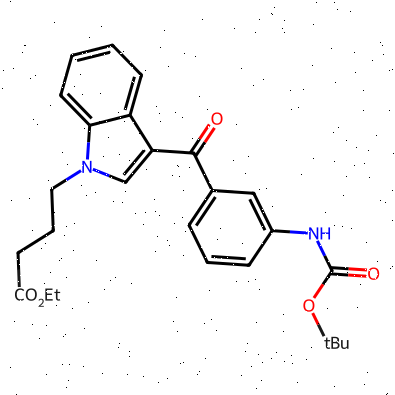 CCOC(=O)CCCn1cc(C(=O)c2cccc(NC(=O)OC(C)(C)C)c2)c2ccccc21